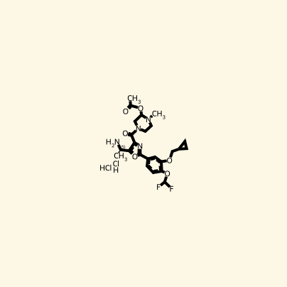 CC(=O)OC1CN(C(=O)c2nc(-c3ccc(OC(F)F)c(OCC4CC4)c3)oc2[C@H](C)N)CCN1C.Cl.Cl